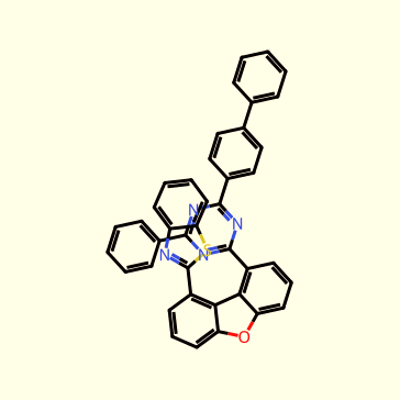 c1ccc(-c2ccc(-c3nc(-c4ccccc4)nc(-c4cccc5oc6cccc(-c7nc8ccccc8s7)c6c45)n3)cc2)cc1